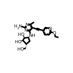 CCOc1ccc(C#Cc2c(C)nc(N)nc2N[C@@H]2C[C@H](CO)[C@@H](O)[C@H]2O)cn1